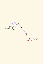 COc1ccc(-n2c(C)nnc2CC(C)C(=O)NCCOCCNC(=O)COc2cccc3c2C(=O)N(C2CCC(=O)NC2=O)C3=O)c(C(=N)c2ccc(Cl)cc2)c1